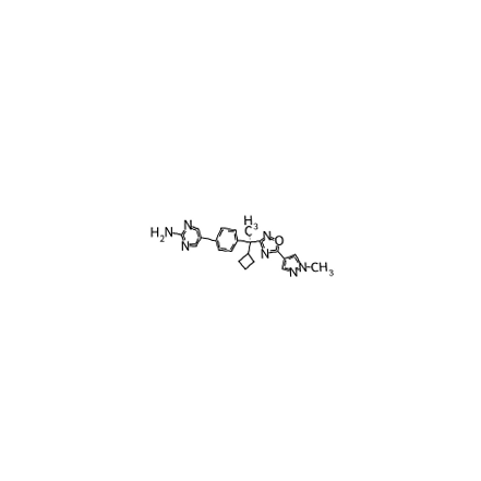 Cn1cc(-c2nc([C@](C)(c3ccc(-c4cnc(N)nc4)cc3)C3CCC3)no2)cn1